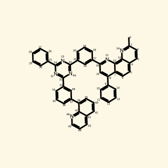 Cc1ccc2ccc3c(-c4ccccc4)cc(-c4cccc(-c5nc(-c6ccccc6)nc(-c6cccc(-c7cccc8cccnc78)c6)n5)c4)nc3c2n1